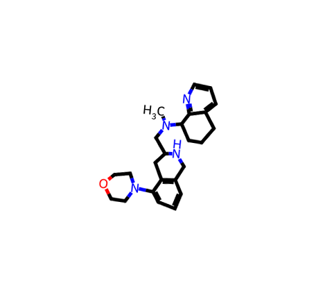 CN(CC1Cc2c(cccc2N2CCOCC2)CN1)C1CCCc2cccnc21